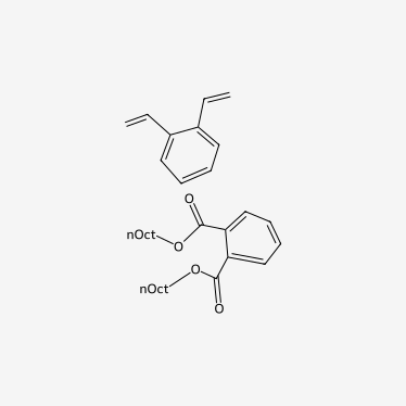 C=Cc1ccccc1C=C.CCCCCCCCOC(=O)c1ccccc1C(=O)OCCCCCCCC